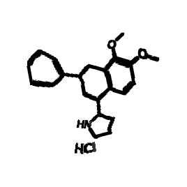 COc1ccc2c(c1OC)CC(c1ccccc1)CC2C1CCCN1.Cl